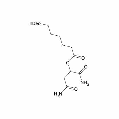 CCCCCCCCCCCCCCCC(=O)OC(CC(N)=O)C(N)=O